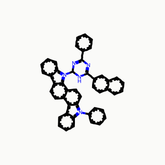 c1ccc(C2=NC(n3c4ccccc4c4ccc5c(ccc6c5c5ccccc5n6-c5ccccc5)c43)NC(c3ccc4ccccc4c3)=N2)cc1